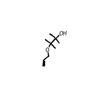 C=CCOC(C)(C)C(C)(C)O